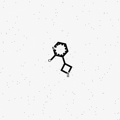 Clc1ncccc1C1CNC1